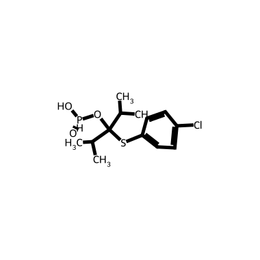 CC(C)C(O[PH](=O)O)(Sc1ccc(Cl)cc1)C(C)C